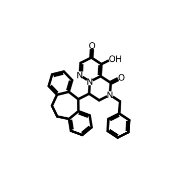 O=C1c2c(O)c(=O)cnn2C(C2c3ccccc3CCc3ccccc32)CN1Cc1ccccc1